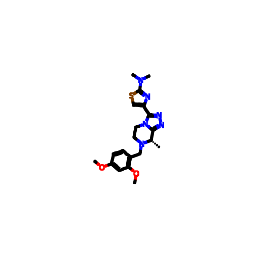 COc1ccc(CN2CCn3c(-c4csc(N(C)C)n4)nnc3[C@@H]2C)c(OC)c1